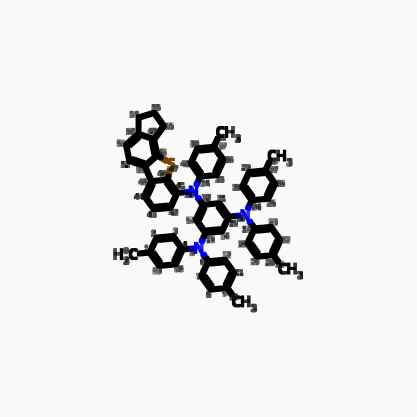 Cc1ccc(N(c2ccc(C)cc2)c2cc(N(c3ccc(C)cc3)c3ccc(C)cc3)cc(N(c3ccc(C)cc3)c3cccc4c3sc3c5c(ccc34)CCC5)c2)cc1